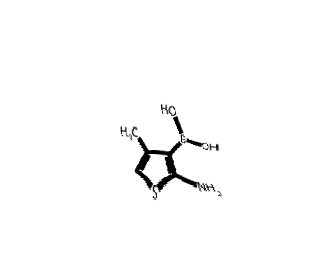 Cc1csc(N)c1B(O)O